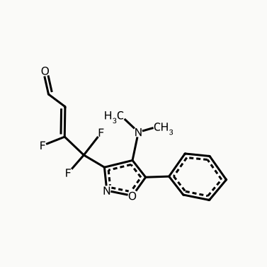 CN(C)c1c(C(F)(F)C(F)=CC=O)noc1-c1ccccc1